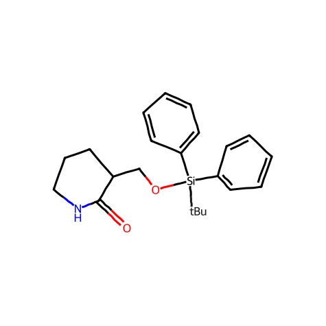 CC(C)(C)[Si](OCC1CCCNC1=O)(c1ccccc1)c1ccccc1